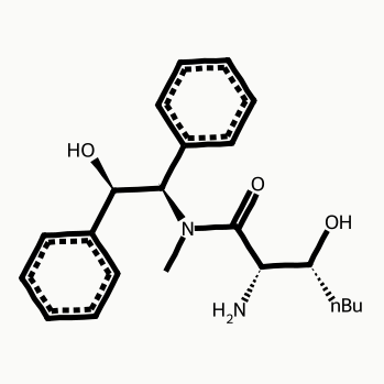 CCCC[C@@H](O)[C@H](N)C(=O)N(C)[C@H](c1ccccc1)[C@H](O)c1ccccc1